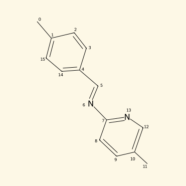 Cc1ccc(C=Nc2ccc(C)cn2)cc1